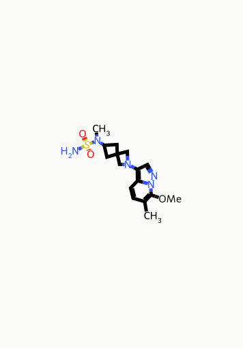 COc1c(C)ccc2c(N3CC4(CC(N(C)S(N)(=O)=O)C4)C3)cnn12